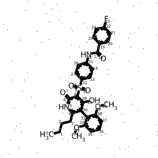 CCCCc1[nH]c(=O)c(S(=O)(=O)c2ccc(NC(=O)c3ccc(F)cc3)cc2)c(O)c1-c1c(OC)cccc1OC